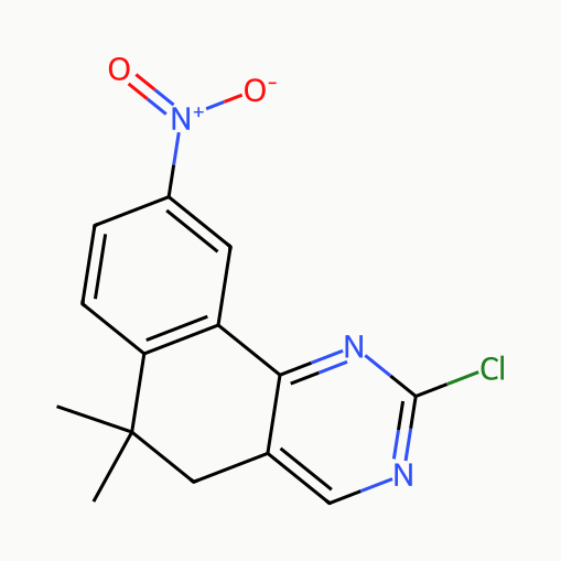 CC1(C)Cc2cnc(Cl)nc2-c2cc([N+](=O)[O-])ccc21